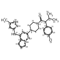 Cc1cc(Nc2nc(N3CCN(C(=O)C(c4ccc(Cl)cc4)C(C)C)CC3)nn3cccc23)n[nH]1